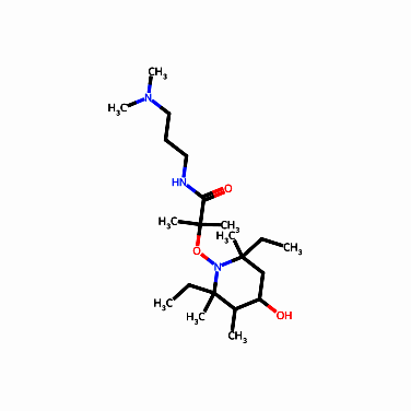 CCC1(C)CC(O)C(C)C(C)(CC)N1OC(C)(C)C(=O)NCCCN(C)C